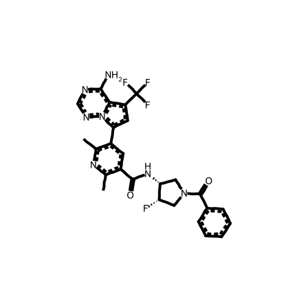 Cc1nc(C)c(-c2cc(C(F)(F)F)c3c(N)ncnn23)cc1C(=O)N[C@@H]1CN(C(=O)c2ccccc2)C[C@@H]1F